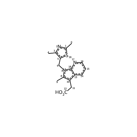 Cc1nc(C)c(Cn2c(C)c(CC(=O)O)c3cccnc32)s1